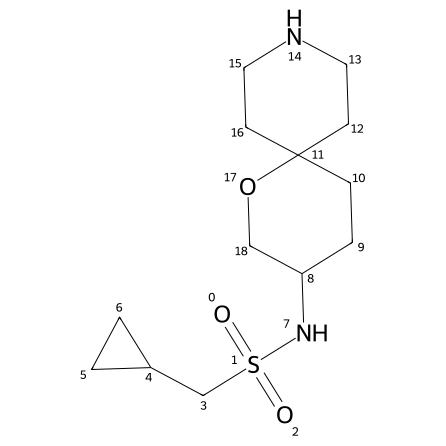 O=S(=O)(CC1CC1)NC1CCC2(CCNCC2)OC1